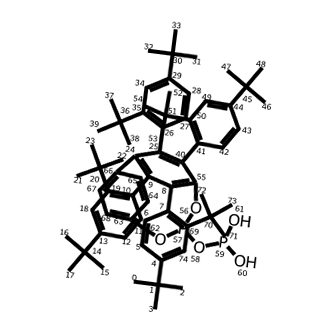 CC(C)(C)c1ccc(-c2c(-c3ccc(C(C)(C)C)cc3C(C)(C)C)c3c(-c4ccc(C(C)(C)C)cc4C(C)(C)C)c(-c4ccc(C(C)(C)C)cc4C(C)(C)C)c2op(OP(O)O)oc2ccc3cc2)c(C(C)(C)C)c1